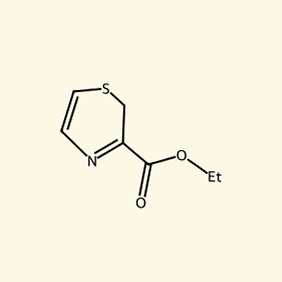 CCOC(=O)C1=NC=CSC1